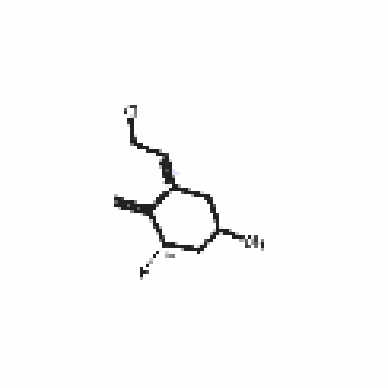 C=C1/C(=C\CCl)CC(O)C[C@@H]1F